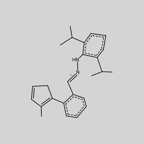 CC1=C(c2ccccc2/C=N/Nc2c(C(C)C)cccc2C(C)C)CC=C1